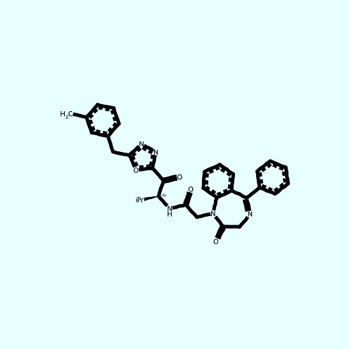 Cc1cccc(Cc2nnc(C(=O)[C@@H](NC(=O)CN3C(=O)CN=C(c4ccccc4)c4ccccc43)C(C)C)o2)c1